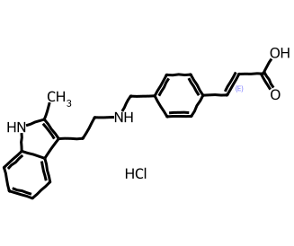 Cc1[nH]c2ccccc2c1CCNCc1ccc(/C=C/C(=O)O)cc1.Cl